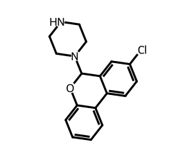 Clc1ccc2c(c1)C(N1CCNCC1)Oc1ccccc1-2